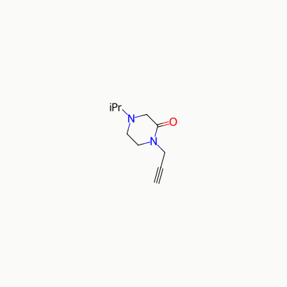 C#CCN1CCN(C(C)C)CC1=O